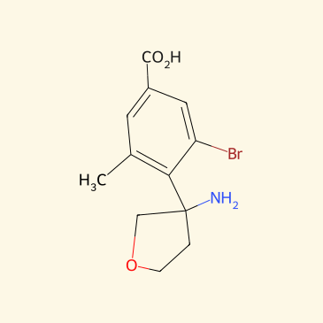 Cc1cc(C(=O)O)cc(Br)c1C1(N)CCOC1